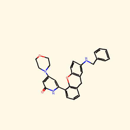 O=c1cc(N2CCOCC2)cc(-c2cccc3c2Oc2ccc(NCc4ccccc4)cc2C3)[nH]1